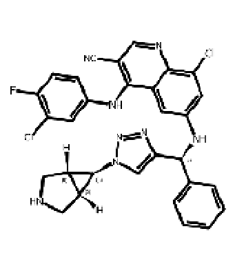 N#Cc1cnc2c(Cl)cc(N[C@@H](c3ccccc3)c3cn([C@H]4[C@@H]5CNC[C@@H]54)nn3)cc2c1Nc1ccc(F)c(Cl)c1